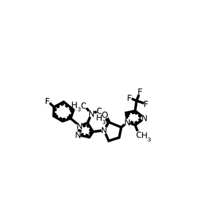 Cc1nc(C(F)(F)F)cn1C1CCN(c2cnn(-c3ccc(F)cc3)c2N(C)C)C1=O